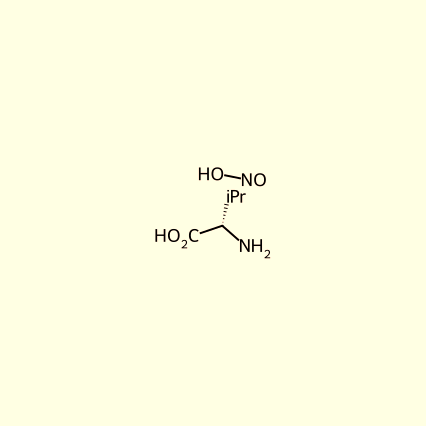 CC(C)[C@H](N)C(=O)O.O=NO